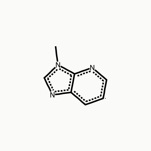 Cn1cnc2c[c]cnc21